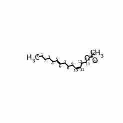 CCCCC/C=C/CCC/C=C\CCOC(C)=O